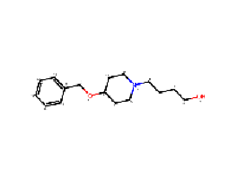 OCCCCN1CCC(OCc2ccccc2)CC1